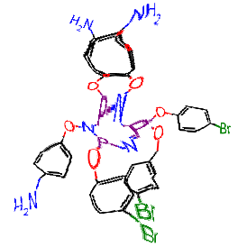 Nc1ccc(ON2P(Oc3ccc(Br)cc3)N=P(Oc3ccc(Br)cc3)(Oc3ccc(Br)cc3)N(Oc3ccc(N)cc3)P2Oc2ccc(N)cc2)cc1